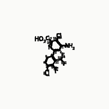 Nc1cc(-c2ccc(Cl)c(F)c2C(F)F)nc(C(=O)O)c1Cl